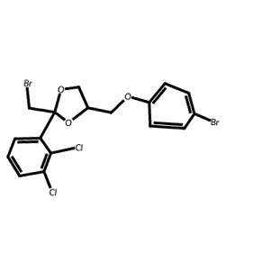 Clc1cccc(C2(CBr)OCC(COc3ccc(Br)cc3)O2)c1Cl